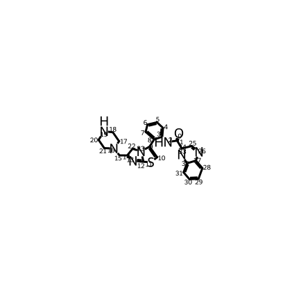 O=C(Nc1ccccc1C1=CSC2=NC(CN3CCNCC3)CN12)c1cnc2ccccc2n1